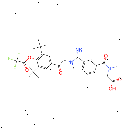 CN(CC(=O)O)C(=O)c1ccc2c(c1)C(=N)N(CC(=O)c1cc(C(C)(C)C)c(OC(=O)C(F)(F)F)c(C(C)(C)C)c1)C2